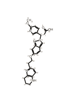 COc1ccc([C@H](CC(=O)O)n2cc3ccc(OCCc4ccc5c(n4)CCCN5)cc3n2)cn1